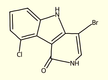 O=c1[nH]cc(Br)c2[nH]c3cccc(Cl)c3c12